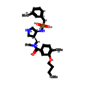 COCCCOc1cc(C(=O)N(C[C@@H]2CNC[C@H]2NS(=O)(=O)Cc2cccc(OC)c2)C(C)C)ccc1OC